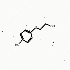 OCCSc1ccc(O)cc1